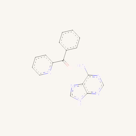 Nc1ncnc2[nH]cnc12.O=C(c1ccccc1)c1ccccn1